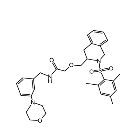 Cc1cc(C)c(S(=O)(=O)N2Cc3ccccc3CC2COCC(=O)NCc2cccc(N3CCOCC3)c2)c(C)c1